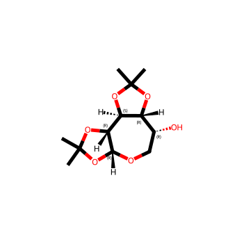 CC1(C)O[C@H]2OC[C@@H](O)[C@H]3OC(C)(C)O[C@@H]3[C@H]2O1